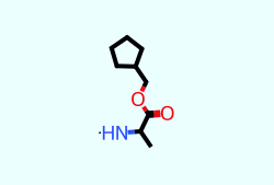 CC([NH])C(=O)OCC1CCCC1